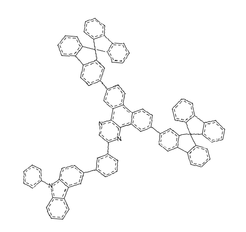 c1ccc(-n2c3ccccc3c3cc(-c4cccc(-c5cnc6c7cc(-c8ccc9c(c8)C8(c%10ccccc%10-c%10ccccc%108)c8ccccc8-9)ccc7c7ccc(-c8ccc9c(c8)C8(c%10ccccc%10-c%10ccccc%108)c8ccccc8-9)cc7c6n5)c4)ccc32)cc1